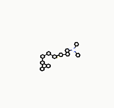 c1ccc(C2=NC(c3ccccc3)NC(c3cccc4c(-c5ccc6c(c5)sc5ccc(-c7cccc(-c8cccc(-c9ccc%10c%11ccccc%11c%11ccccc%11c%10c9)c8)c7)cc56)cccc34)=N2)cc1